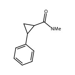 CNC(=O)C1CC1c1ccccc1